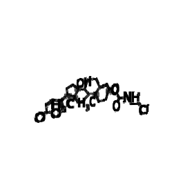 C[C@]12CC[C@H](OC(=O)NCCCl)C=C1CCC1C2CC[C@]2(C)[C@@H](c3ccc(=O)oc3)CC[C@]12O